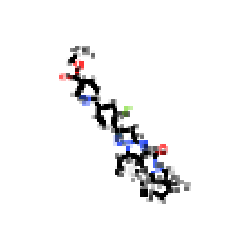 CCOC(=O)c1ccc(-c2ccc(-c3cc4nc(C(=O)N5C[C@]6(C)CCC[C@]6(C)[C@H]5C)cc(CC)n4n3)c(F)c2)nc1